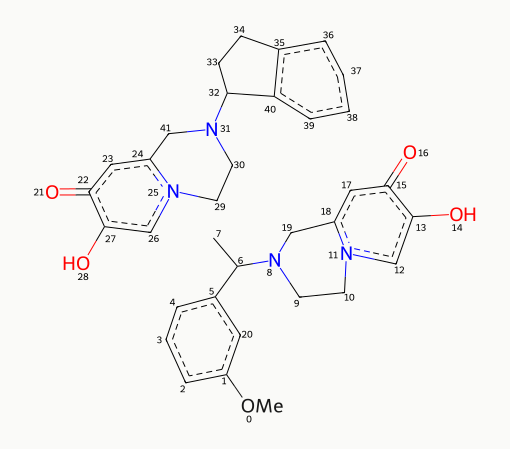 COc1cccc(C(C)N2CCn3cc(O)c(=O)cc3C2)c1.O=c1cc2n(cc1O)CCN(C1CCc3ccccc31)C2